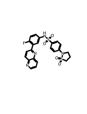 O=S(=O)(Nc1ccc(F)c(-c2ccc3ncccc3n2)c1)c1ccc(N2CCCS2(=O)=O)cc1